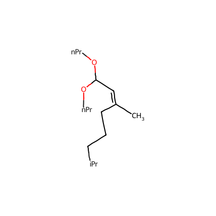 CCCOC(C=C(C)CCCC(C)C)OCCC